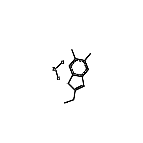 CCC1=Cc2cc(C)c(C)cc2[CH]1.[Cl][Zr][Cl]